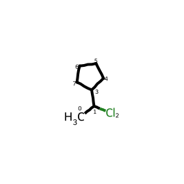 CC(Cl)C1CCCC1